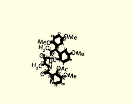 COc1ccc(C)c(C(c2cc(OC)ccc2OC)[C@H](C)OC(=O)[C@H](C)NC(=O)c2nccc(OC)c2OC(C)=O)c1